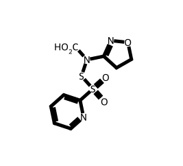 O=C(O)N(SS(=O)(=O)c1ccccn1)C1=NOCC1